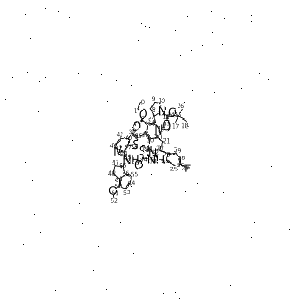 CCOC(=O)c1c([C@H]2CCCN2C(=O)OC(C)(C)C)nc(CCc2ccc(F)cc2)c(-c2n[nH]c(=O)s2)c1-c1cc2ccnc(N[C@@H]3CCc4c(OC)cccc43)c2s1